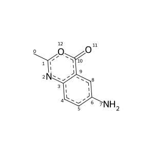 Cc1nc2ccc(N)cc2c(=O)o1